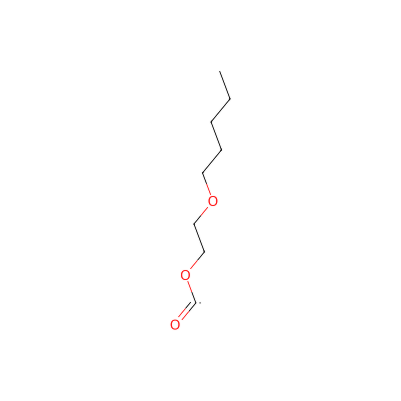 CCCCCOCCO[C]=O